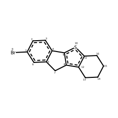 Brc1ccc2c(c1)Cc1c-2sc2c1CCCC2